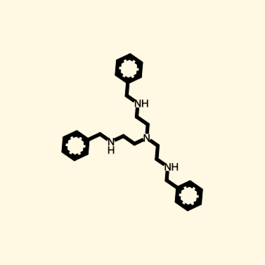 c1ccc(CNCCN(CCNCc2ccccc2)CCNCc2ccccc2)cc1